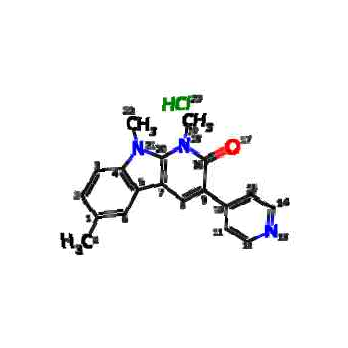 Cc1ccc2c(c1)c1cc(-c3ccncc3)c(=O)n(C)c1n2C.Cl